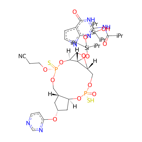 CC(C)C(=O)Nc1nc2c(ccn2[C@@H]2O[C@@H]3CO[P@](=O)(S)O[C@H]4C[C@H](Oc5ccncn5)C[C@@H]4CO[P@](=S)(OCCC#N)O[C@@H]2[C@@H]3O[Si](O[Si](O)(C(C)C)C(C)C)(C(C)C)C(C)C)c(=O)[nH]1